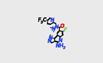 CN(C)N(Cc1ccc(C(F)(F)F)cn1)C(=O)c1cc2c(cc1F)nc(N)c1cnn(C)c12